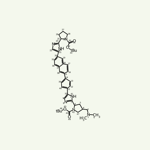 CN(C)CC1CC(c2ncc(-c3ccc(-c4ccc5cc(-c6cnc(C7CCCN7C(=O)OC(C)(C)C)[nH]6)ccc5c4)cc3)[nH]2)N(C(=O)OC(C)(C)C)C1